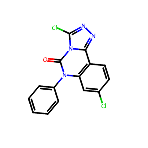 O=c1n(-c2ccccc2)c2cc(Cl)ccc2c2nnc(Cl)n12